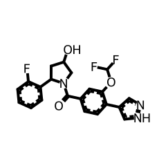 O=C(c1ccc(-c2cn[nH]c2)c(OC(F)F)c1)N1CC(O)CC1c1ccccc1F